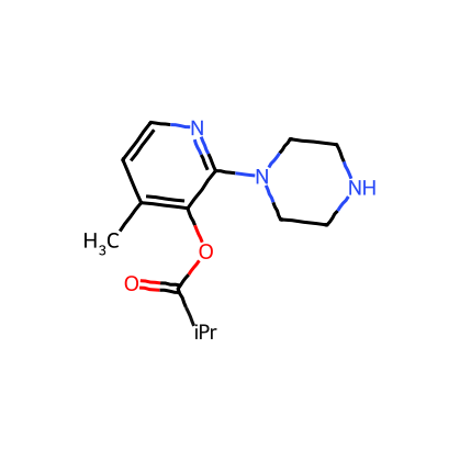 Cc1ccnc(N2CCNCC2)c1OC(=O)C(C)C